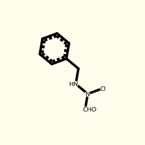 O=[C]N(Cl)NCc1ccccc1